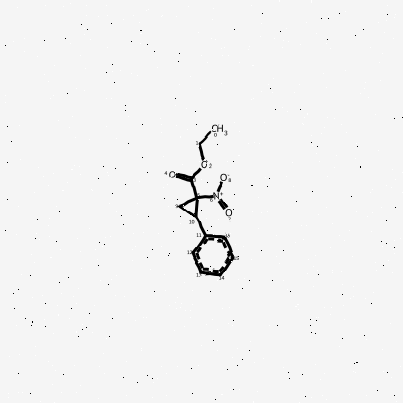 CCOC(=O)C1([N+](=O)[O-])CC1c1ccccc1